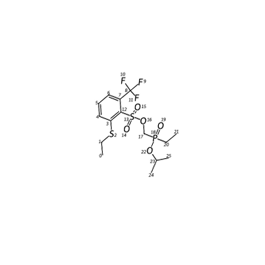 CCSc1cccc(C(F)(F)F)c1S(=O)(=O)OCP(=O)(CC)OC(C)C